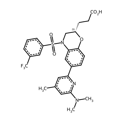 Cc1cc(-c2ccc3c(c2)N(S(=O)(=O)c2cccc(C(F)(F)F)c2)C[C@H](CCC(=O)O)O3)nc(N(C)C)c1